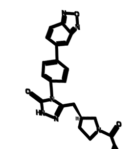 O=C(C1CC1)N1CC[C@@H](Cc2n[nH]c(=O)n2-c2ccc(-c3ccc4nonc4c3)cc2)C1